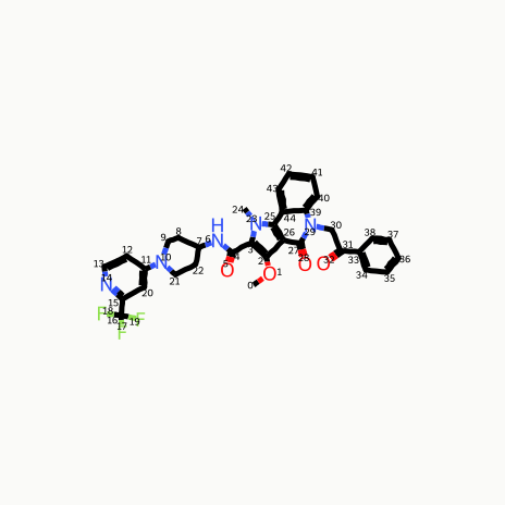 COc1c(C(=O)NC2CCN(c3ccnc(C(F)(F)F)c3)CC2)n(C)c2c1c(=O)n(CC(=O)c1ccccc1)c1ccccc21